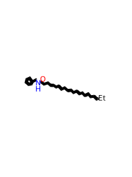 CCC=CCC=CCC=CCC=CCC=CCC=CCCC(=O)NCc1ccccc1